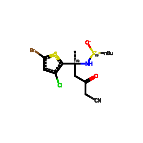 CCCC[S@@+]([O-])N[C@@](C)(CC(=O)CC#N)c1sc(Br)cc1Cl